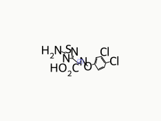 Nc1nc(/C(=N/Oc2ccc(Cl)c(Cl)c2)C(=O)O)ns1